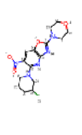 O=[N+]([O-])c1cc2oc(N3CCOCC3)nc2nc1N1CCCC(F)C1